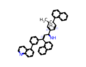 CC/C=C(\C=C/C(C)c1cccc2ccccc12)C(=N)/C=C(/c1cccc(-c2cccc3ncccc23)c1)c1cccc2ccccc12